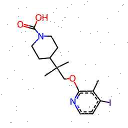 Cc1c(I)ccnc1OCC(C)(C)C1CCN(C(=O)O)CC1